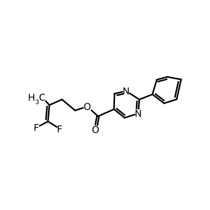 CC(CCOC(=O)c1cnc(-c2ccccc2)nc1)=C(F)F